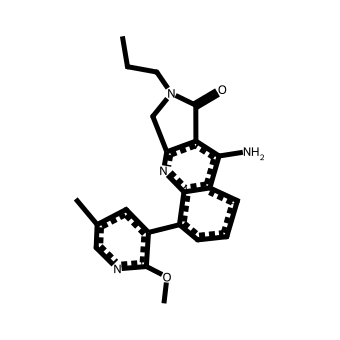 CCCN1Cc2nc3c(-c4cc(C)cnc4OC)cccc3c(N)c2C1=O